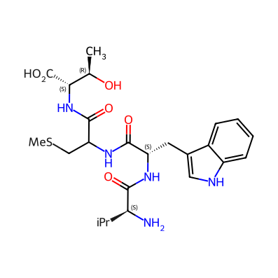 CSCC(NC(=O)[C@H](Cc1c[nH]c2ccccc12)NC(=O)[C@@H](N)C(C)C)C(=O)N[C@H](C(=O)O)[C@@H](C)O